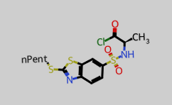 CCCCCSc1nc2ccc(S(=O)(=O)N[C@H](C)C(=O)Cl)cc2s1